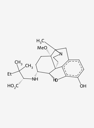 CCC(C)(C)[C@H](N[C@@H]1CC[C@@]2(OC)C3Cc4ccc(O)c5c4[C@@]2(CCN3C)[C@H]1O5)C(=O)O